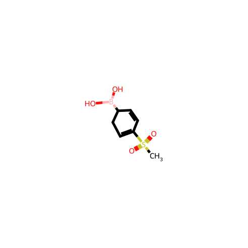 CS(=O)(=O)C1=CCC(B(O)O)C=C1